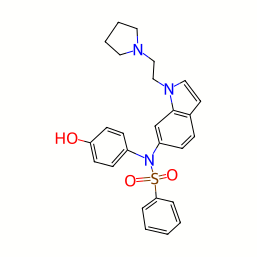 O=S(=O)(c1ccccc1)N(c1ccc(O)cc1)c1ccc2ccn(CCN3CCCC3)c2c1